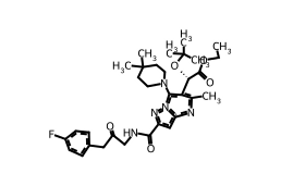 CCOC(=O)[C@@H](OC(C)(C)C)c1c(C)nc2cc(C(=O)NCC(=O)Cc3ccc(F)cc3)nn2c1N1CCC(C)(C)CC1